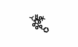 CC(C)C[C@H](NC(=O)OC(C)(C)C)C(=O)CC(=O)OCc1ccccc1